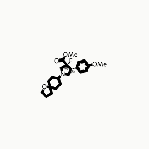 COC(=O)[C@]1(F)CN(C2CCC3(CCCO3)CC2)C[C@H]1c1ccc(OC)cc1